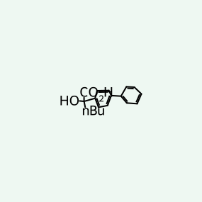 CCCCC(O)(C(=O)O)c1ccc(-c2ccccc2)cc1